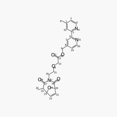 Cc1ccnc(-c2cc(COC(=O)COCCN3C(=O)C4C=CC(O4)C(C)C3=O)ccn2)c1